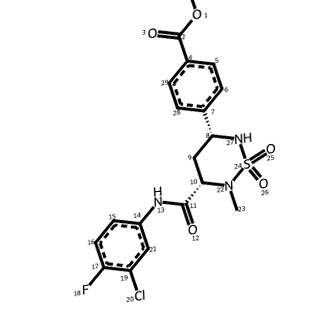 COC(=O)c1ccc([C@H]2C[C@@H](C(=O)Nc3ccc(F)c(Cl)c3)N(C)S(=O)(=O)N2)cc1